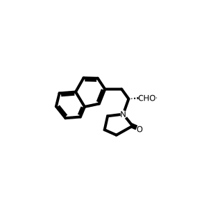 O=[C][C@@H](Cc1ccc2ccccc2c1)N1CCCC1=O